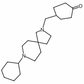 O=C1CCC(CN2CCC3(CCN(C4CCCCC4)CC3)C2)CC1